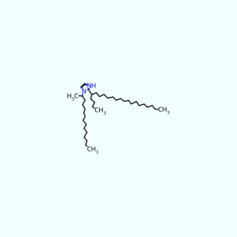 CCCCCCCCCCCCCCCCCC(CCCC)c1[nH]cc[n+]1C(C)CCCCCCCCCCCCC